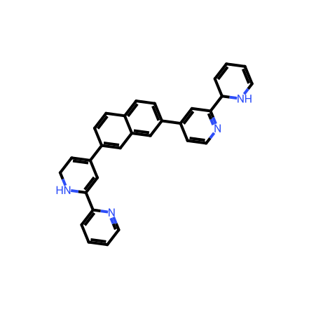 C1=CNC(c2cc(-c3ccc4ccc(C5=CCNC(c6ccccn6)=C5)cc4c3)ccn2)C=C1